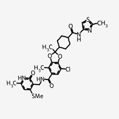 CSc1cc(C)[nH]c(=O)c1CNC(=O)c1cc(Cl)c2c(c1C)OC(C)(C1CCC(C(=O)Nc3csc(C)n3)CC1)O2